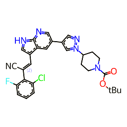 CC(C)(C)OC(=O)N1CCC(n2cc(-c3cnc4[nH]cc(/C=C(\C#N)c5c(F)cccc5Cl)c4c3)cn2)CC1